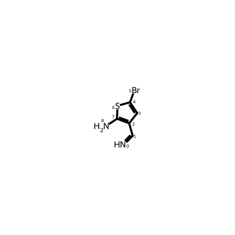 N=Cc1cc(Br)sc1N